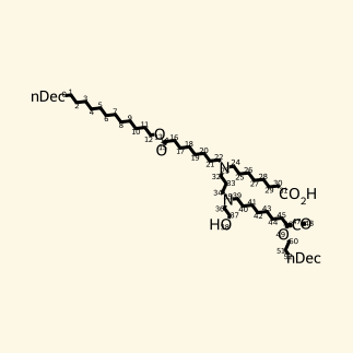 CCCCCCCCCCCCCCCCCCCCCCOC(=O)CCCCCCCN(CCCCCCCC(=O)O)CCCN(CCO)CCCCCCCC(=C=O)OCCCCCCCCCCCC